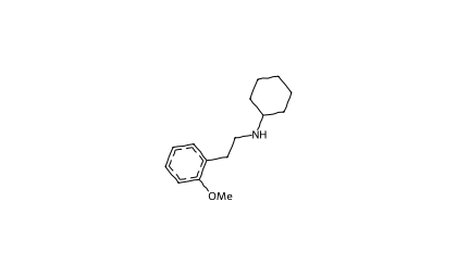 COc1ccccc1CCNC1CCCCC1